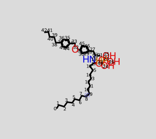 CCCCCCCC/C=C\CCCCCCCC(=O)N[C@H](CO[PH](O)(O)O)Cc1ccc(OCc2ccc(CCCCC)cc2)cc1